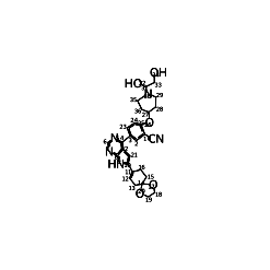 N#Cc1cc(-c2ncnc3[nH]c(C4=CCC5(CC4)OCCO5)cc23)ccc1OC1CCN(C(O)CO)CC1